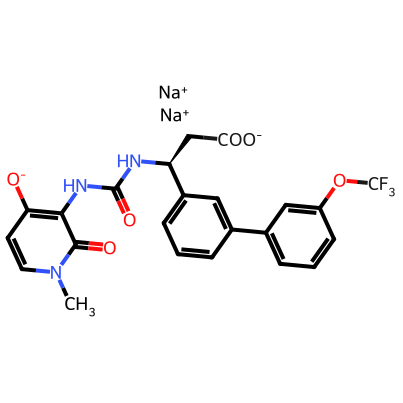 Cn1ccc([O-])c(NC(=O)N[C@@H](CC(=O)[O-])c2cccc(-c3cccc(OC(F)(F)F)c3)c2)c1=O.[Na+].[Na+]